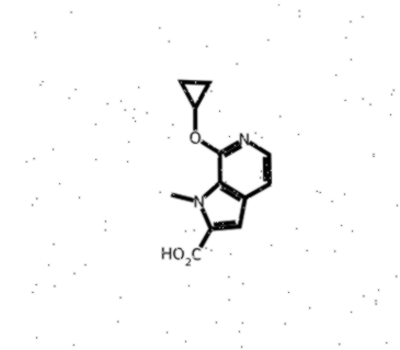 Cn1c(C(=O)O)cc2ccnc(OC3CC3)c21